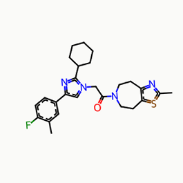 Cc1nc2c(s1)CCN(C(=O)Cn1cc(-c3ccc(F)c(C)c3)nc1C1CCCCC1)CC2